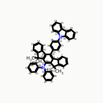 CC1(C)c2ccccc2-c2c(-c3ccc(-n4c5ccccc5c5ccccc54)cc3)c3c(c(N(c4ccccc4)c4ccccc4)c21)C(C)(C)c1ccccc1-3